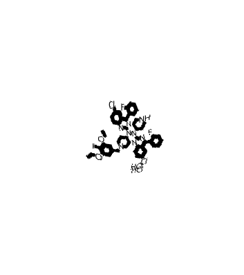 CCOc1cc(CN2CCC(N(c3nc(-c4ccccc4F)c4cc(Cl)ccc4n3)N(c3nc(-c4ccccc4F)c4cc(Cl)ccc4n3)C3CCNCC3)CC2)cc(OCC)c1I.Cl.Cl